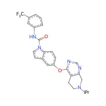 CC(C)N1CCc2c(ncnc2Oc2ccc3c(ccn3C(=O)Nc3cccc(C(F)(F)F)c3)c2)C1